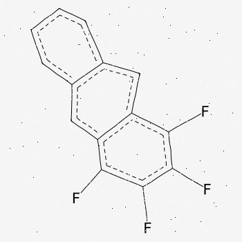 Fc1c(F)c(F)c2cc3ccccc3cc2c1F